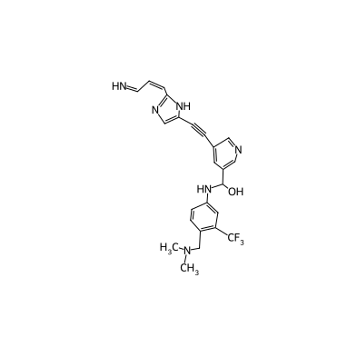 CN(C)Cc1ccc(NC(O)c2cncc(C#Cc3cnc(/C=C\C=N)[nH]3)c2)cc1C(F)(F)F